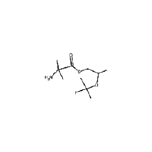 CC(COC(=O)C(C)(C)N)OC(C)(C)I